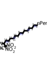 CCCCC/C=C/C/C=C/C/C=C/C/C=C/C/C=C/C([N+](=O)[O-])C([C]=O)([N+](=O)[O-])[N+](=O)[O-]